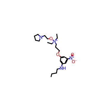 CCCCNc1cc(OCCC[N+](CC)(CC)OCCN2CCCC2)cc([N+](=O)[O-])c1